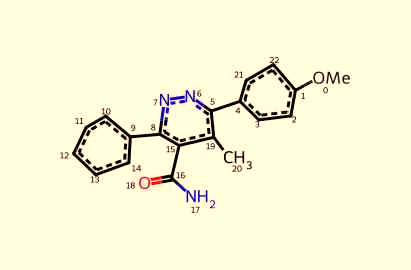 COc1ccc(-c2nnc(-c3ccccc3)c(C(N)=O)c2C)cc1